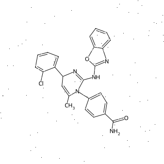 CC1=CC(c2ccccc2Cl)N=C(Nc2nc3ccccc3o2)N1c1ccc(C(N)=O)cc1